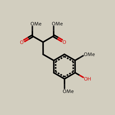 COC(=O)C(Cc1cc(OC)c(O)c(OC)c1)C(=O)OC